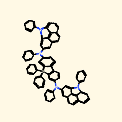 c1ccc(N(c2ccc3c(c2)[Si](c2ccccc2)(c2ccccc2)c2cc(N(c4ccccc4)c4cc5ccc6cccc7c6c5c(c4)n7-c4ccccc4)ccc2-3)c2cc3ccc4cccc5c4c3c(c2)n5-c2ccccc2)cc1